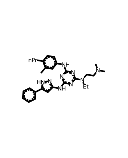 CCCc1ccc(Nc2nc(Nc3cc(-c4ccccc4)[nH]n3)nc(N(CC)CCN(C)C)n2)cc1C